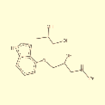 CC(C)NCC(O)COc1cccc2[nH]ccc12.CC(O)CO